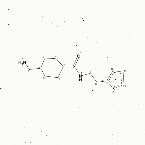 NCC1CCC(C(=O)NCCc2cccs2)CC1